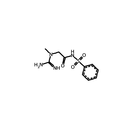 CN(CC(=O)NS(=O)(=O)c1ccccc1)C(=N)N